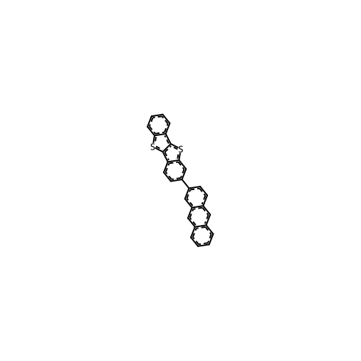 c1ccc2cc3cc(-c4ccc5c(c4)sc4c6ccccc6sc54)ccc3cc2c1